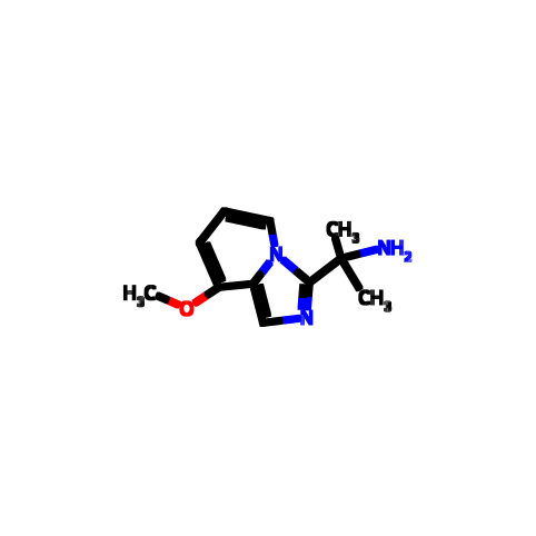 COc1cccn2c(C(C)(C)N)ncc12